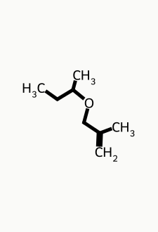 C=C(C)COC(C)CC